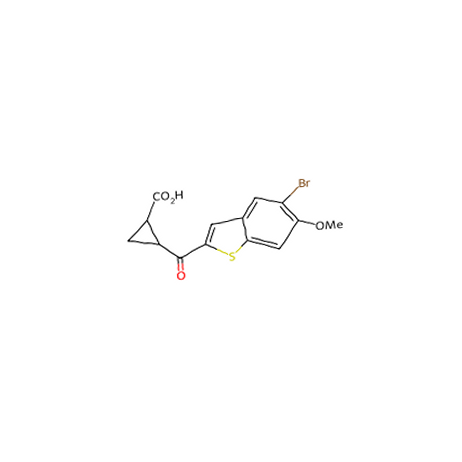 COc1cc2sc(C(=O)C3CC3C(=O)O)cc2cc1Br